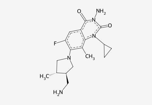 Cc1c(N2C[C@@H](CN)[C@H](C)C2)c(F)cc2c(=O)n(N)c(=O)n(C3CC3)c12